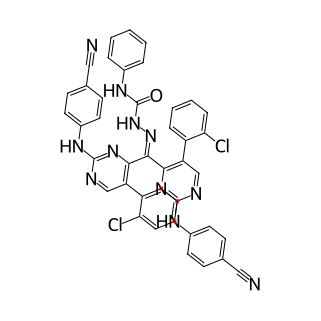 N#Cc1ccc(Nc2ncc(-c3ccccc3Cl)c(C(=NNC(=O)Nc3ccccc3)c3nc(Nc4ccc(C#N)cc4)ncc3-c3ccccc3Cl)n2)cc1